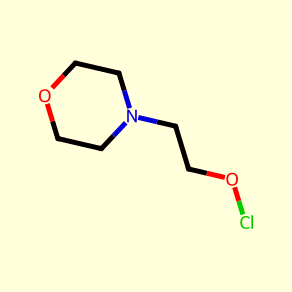 ClOCCN1CCOCC1